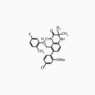 COc1cc(Cl)ccc1-c1ccc2c(c1COc1cc(F)ccc1C)N(C)C(=O)C(C)(C)N2